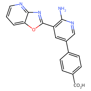 Nc1ncc(-c2ccc(C(=O)O)cc2)cc1-c1nc2ncccc2o1